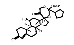 COC1(C2CCCC2)OCC(=O)[C@]2(CC[C@H]3[C@@H]4CCC5=CC(=O)CC[C@]5(C)[C@H]4[C@@H](O)C[C@@]32C)O1